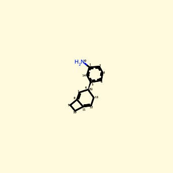 Nc1cccc([C@@H]2C=C3CCC3=CC2)c1